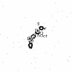 CCCCCCCCc1c(N2CCN(S(=O)(=O)Cc3ccccc3)CC2)cnn(-c2cc(F)cc(F)c2)c1=O